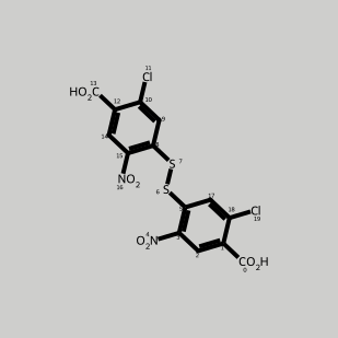 O=C(O)c1cc([N+](=O)[O-])c(SSc2cc(Cl)c(C(=O)O)cc2[N+](=O)[O-])cc1Cl